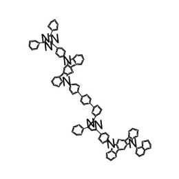 c1ccc(-c2cc(-c3ccc(-n4c5ccccc5c5cc6c(cc54)c4ccccc4n6-c4cccc5ccccc45)cc3)nc(-c3cccc(-c4ccc(-c5ccc(-n6c7ccccc7c7cc8c(cc76)c6ccccc6n8-c6ccc(-c7nc(-c8ccccc8)nc(-c8ccccc8)n7)cc6)cc5)cc4)c3)n2)cc1